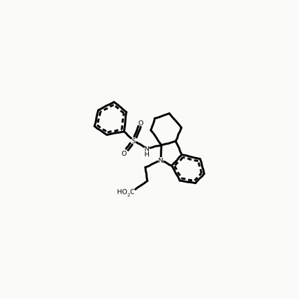 O=C(O)CCN1c2ccccc2C2CCCCC21NS(=O)(=O)c1ccccc1